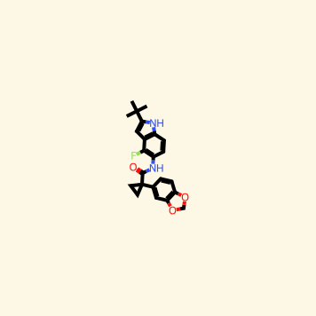 CC(C)(C)c1cc2c(F)c(NC(=O)C3(c4ccc5c(c4)OCO5)CC3)ccc2[nH]1